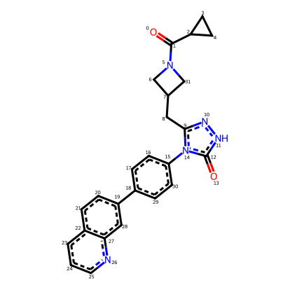 O=C(C1CC1)N1CC(Cc2n[nH]c(=O)n2-c2ccc(-c3ccc4cccnc4c3)cc2)C1